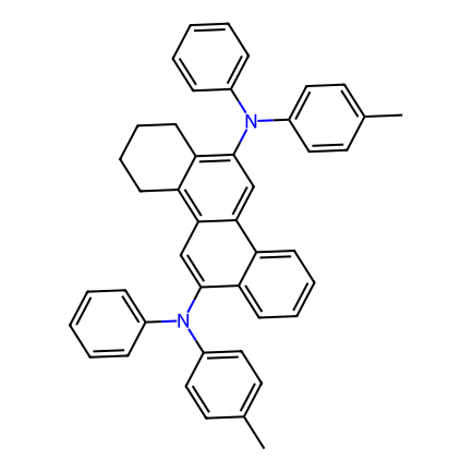 Cc1ccc(N(c2ccccc2)c2cc3c(cc(N(c4ccccc4)c4ccc(C)cc4)c4ccccc43)c3c2CCCC3)cc1